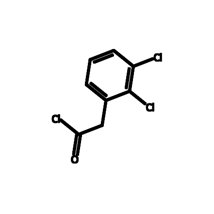 O=C(Cl)Cc1cccc(Cl)c1Cl